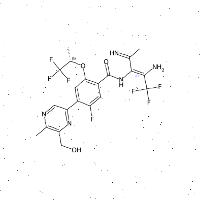 CC(=N)/C(NC(=O)c1cc(F)c(-c2cnc(C)c(CO)n2)cc1O[C@@H](C)C(F)(F)F)=C(\N)C(F)(F)F